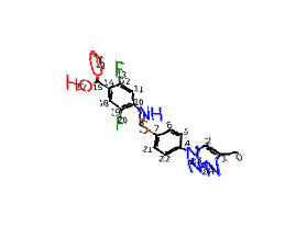 Cc1cn(-c2ccc(SNc3cc(F)c(C(=O)O)cc3F)cc2)nn1